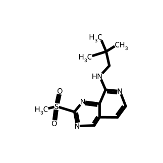 CC(C)(C)CNc1nccc2cnc(S(C)(=O)=O)nc12